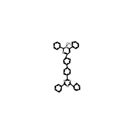 CN1C(c2ccccc2)=CC(c2ccc(-c3ccc(-c4nc(-c5ccccc5)nc(-c5ccccc5)n4)cc3)cc2)=NC1c1ccccc1